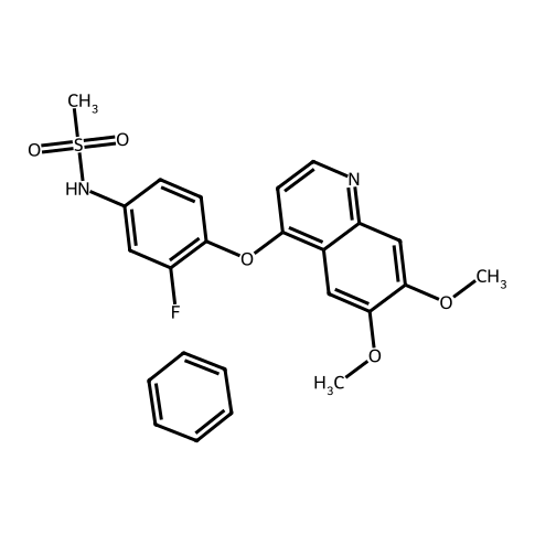 COc1cc2nccc(Oc3ccc(NS(C)(=O)=O)cc3F)c2cc1OC.c1ccccc1